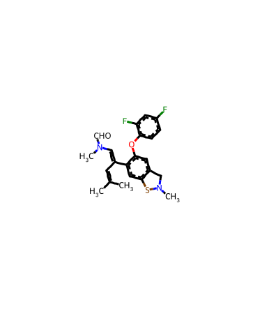 CC(C)=C/C(=C\N(C)C=O)c1cc2c(cc1Oc1ccc(F)cc1F)CN(C)S2